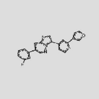 Fc1cccc(-c2cnn3c(-c4ccnc(-c5ccoc5)c4)cnc3c2)c1